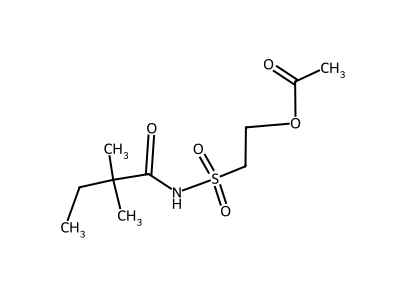 CCC(C)(C)C(=O)NS(=O)(=O)CCOC(C)=O